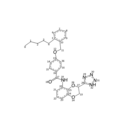 CCCCCc1ccccc1COc1ccc(C(=O)Nc2cccc3c2OC(c2nnn[nH]2)CO3)cc1